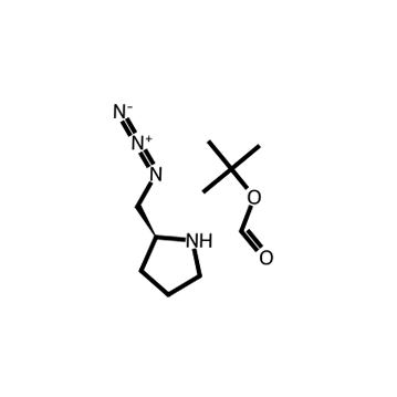 CC(C)(C)OC=O.[N-]=[N+]=NC[C@@H]1CCCN1